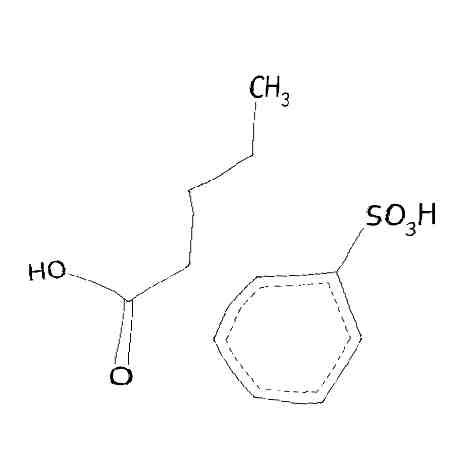 CCCCC(=O)O.O=S(=O)(O)c1ccccc1